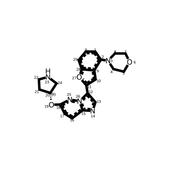 c1cc(N2CCOCC2)c2cc(-c3cnc4ccc(O[C@@H]5CCNC5)nn34)oc2c1